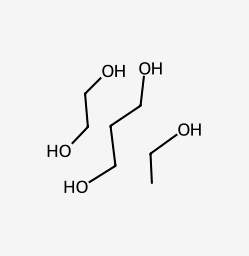 CCO.OCCCO.OCCO